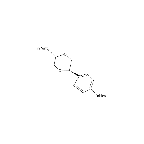 CCCCCCc1ccc([C@@H]2CO[C@@H](CCCCC)CO2)cc1